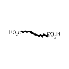 O=C(O)CCCCCC#CC#CCCCCCC(=O)O